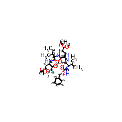 CCC(C)C(NC(=O)C(CCC(=O)OC)NC(=O)C(NC(=O)OCc1ccccc1)C(C)C)C(=O)NC(CC(=O)OC)C(=O)CF